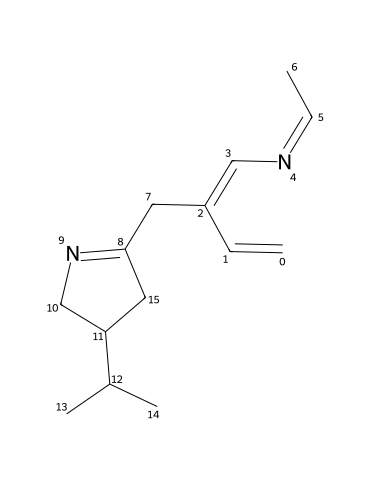 C=C/C(=C\N=C/C)CC1=NCC(C(C)C)C1